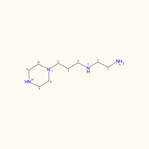 NCCNCCCN1CCNCC1